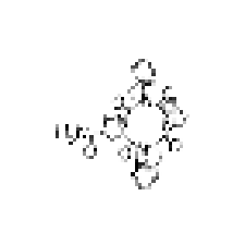 NC(=O)CC[C@H]1NC(=O)[C@H](Cc2ccccc2)NC(=O)[C@H]2CCCN2C(=O)[C@H](Cc2ccccc2)NC1=O